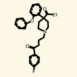 CCC(=O)C1(c2ccccc2Oc2ccccc2)CCN(CCCC(=O)c2ccc(F)cc2)CC1